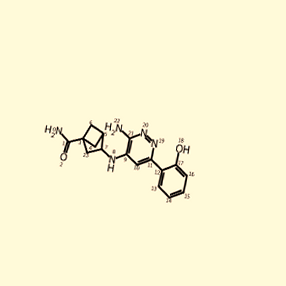 NC(=O)C12CC(C1)C(Nc1cc(-c3ccccc3O)nnc1N)C2